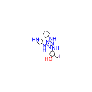 Oc1ccc(Nc2nc(NC3CCCCCC3)nc(NC3CCNCC3)n2)cc1CI